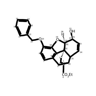 CCOC(=O)N1CC[C@]23c4c5ccc(OCc6ccccc6)c4O[C@H]2[C@@H](O)C=CC3C1C5